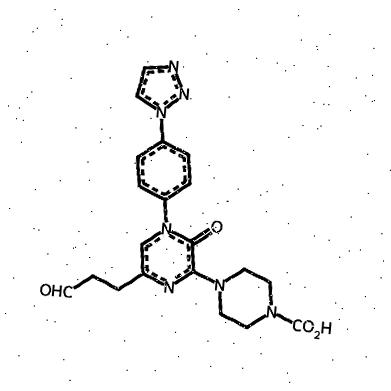 O=CCCc1cn(-c2ccc(-n3ccnn3)cc2)c(=O)c(N2CCN(C(=O)O)CC2)n1